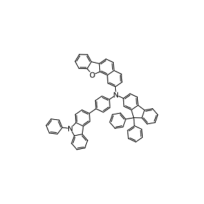 c1ccc(-n2c3ccccc3c3cc(-c4ccc(N(c5ccc6c(c5)C(c5ccccc5)(c5ccccc5)c5ccccc5-6)c5ccc6ccc7c8ccccc8oc7c6c5)cc4)ccc32)cc1